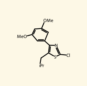 COc1cc(OC)cc(-c2nc(Cl)sc2CC(C)C)c1